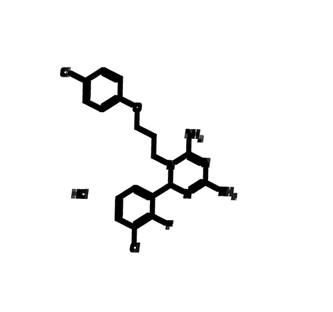 Cl.NC1=NC(c2cccc(Cl)c2F)N(CCCOc2ccc(Cl)cc2)C(N)=N1